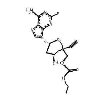 C#C[C@]1(COC(=O)OCC)O[C@@H](n2cnc3c(N)nc(F)nc32)C[C@@H]1O